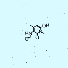 Cc1cc(O)n(C)c(=O)c1NC=O